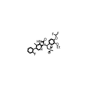 CCOc1cc(C(CS(C)(=O)=O)n2c(=O)[nH]c3c(C)c(-c4ccccc4F)cnc32)ccc1OC(F)F